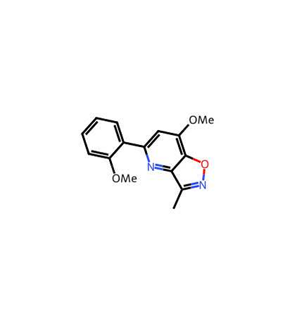 COc1ccccc1-c1cc(OC)c2onc(C)c2n1